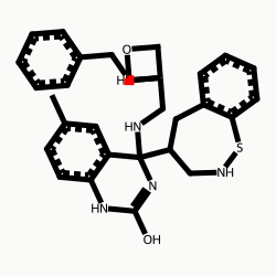 Cc1ccc2c(c1)C(NCC1(NCc3ccccc3)COC1)(C1CNSc3ccccc3C1)N=C(O)N2